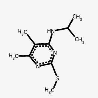 CSc1nc(C)c(C)c(NC(C)C)n1